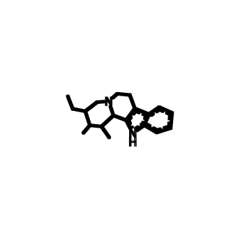 CCC1CN2CCc3c([nH]c4ccccc34)C2C(C)C1C